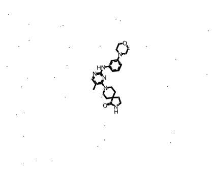 Cc1cnc(Nc2cccc(N3CCOCC3)c2)nc1N1CCC2(CCNC2=O)CC1